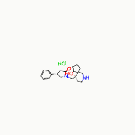 Cl.O=C1C[C@H](c2ccccc2)CN1C[C@]1(O)CCNCC12CCCC2